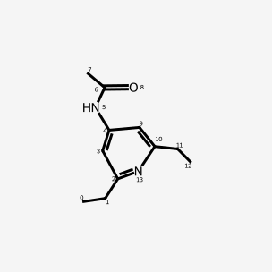 CCc1cc(NC(C)=O)cc(CC)n1